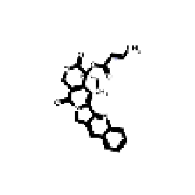 C/C=C/C(=O)O[C@]1(CC)C(=O)OCc2c1cc1n(c2=O)Cc2cc3ccccc3nc2-1